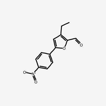 CCc1cc(-c2ccc([N+](=O)[O-])cc2)oc1C=O